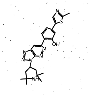 Cc1ncc(-c2ccc(-c3cc4nnn(C5CC(C)(C)NC(C)(C)C5)c4nn3)c(O)c2)s1